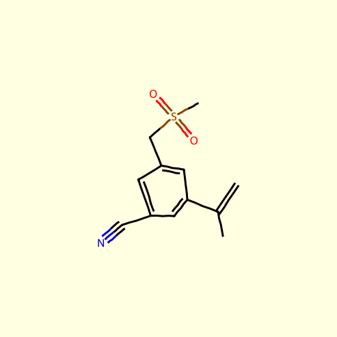 C=C(C)c1cc(C#N)cc(CS(C)(=O)=O)c1